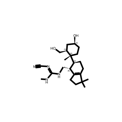 CNC(=NC#N)NC[C@H]1C2=C(CC[C@@H]1[C@@]1(C)CC[C@H](O)C[C@@H]1CO)C(C)(C)CC2